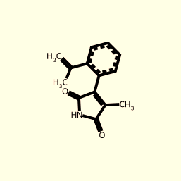 C=C(C)c1ccccc1C1=C(C)C(=O)NC1=O